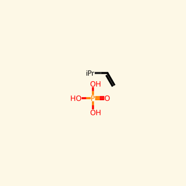 C=CC(C)C.O=P(O)(O)O